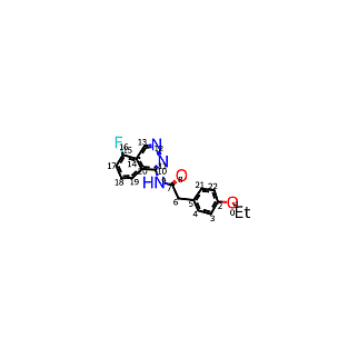 CCOc1ccc(CC(=O)Nc2nncc3c(F)cccc23)cc1